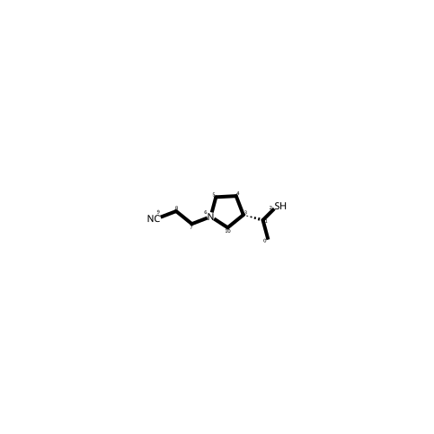 CC(S)[C@H]1CCN(CCC#N)C1